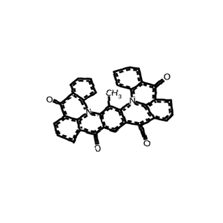 Cc1c2c(cc3c(=O)c4cccc5c(=O)c6ccccc6n(c13)c54)c(=O)c1cccc3c(=O)c4ccccc4n2c31